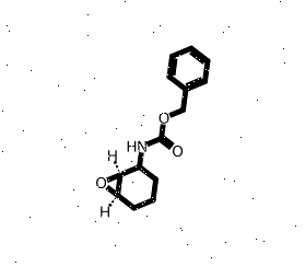 O=C(NC1CCC[C@H]2O[C@@H]12)OCc1ccccc1